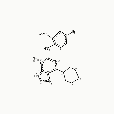 COc1cc(Br)ccc1Nc1nc(C2CCCCC2)c2nc[nH]c2n1.N